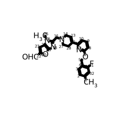 Cc1ccc(COc2cccc(C3=CCN(Cc4nc5oc(C=O)cc5n4C)CC3)n2)c(F)c1